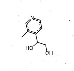 Cc1cnccc1C(O)CO